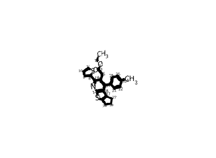 CCOC(=O)Cc1c(-c2cccs2)nc2sc3c(c2c1-c1ccc(C)cc1)CCC3